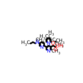 CCCCN(C)c1ccc(-c2cnc(C)c(C(OC(C)(C)C)C(=O)O)c2N2CCC(C)(C)CC2)nc1